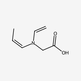 C=CN(/C=C\C)CC(=O)O